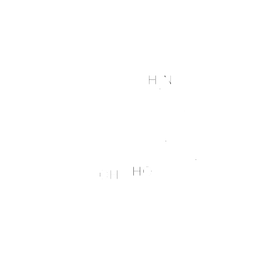 CCC(O)CC(O)(CN)C(C)(C)C